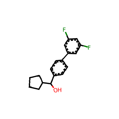 OC(c1ccc(-c2cc(F)cc(F)c2)cc1)C1CCCC1